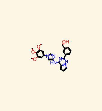 COc1cc(-n2cnc(Nc3nc(-c4cccc(CO)c4)nn4cccc34)c2)cc(OC)c1OC